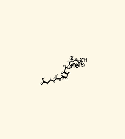 CC(C)=CCC/C(C)=C/c1ccc(COCP(=O)(O)CP(=O)(O)O)s1